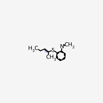 C=Nc1ccccc1S/C(C)=C/CC